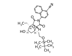 CC[C@]12O[C@](CCO[Si](C)(C)C(C)(C)C)(C[C@@H]1O)[C@H]1C(=O)N(c3ccc(C#N)c4ccccc34)C(=O)C12